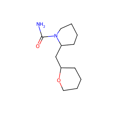 NC(=O)N1CCCCC1CC1CCCCO1